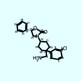 NCC1(c2cccc(Cl)c2)CCC(N2C[C@H](c3ccccc3)OC2=O)CC1